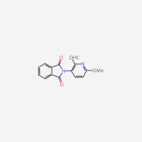 COc1ccc(N2C(=O)c3ccccc3C2=O)c(C=O)n1